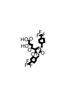 O=C(O)/C(O)=C/C(=O)c1cn(Cc2ccc(C(F)(F)F)cc2)c(=O)n(Cc2ccc(C(F)(F)F)cc2)c1=O